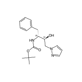 CC(C)(C)OC(=O)N[C@H](Cc1ccccc1)[C@@H](O)Cn1cccn1